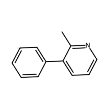 Cc1ncccc1-c1c[c]ccc1